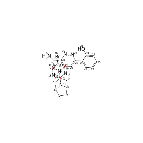 Nc1nn(C2CC3CCC(C2)N3c2ncc(Br)cn2)c2cc(-c3ccccc3O)nnc12